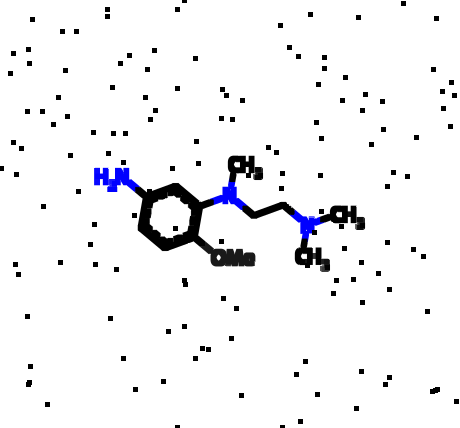 COc1ccc(N)cc1N(C)CCN(C)C